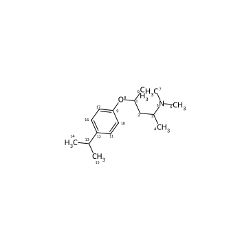 CC(CC(C)N(C)C)Oc1ccc(C(C)C)cc1